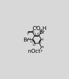 C=C(C(=O)O)c1c(Br)cc(CCCCCCCCC)cc1Br